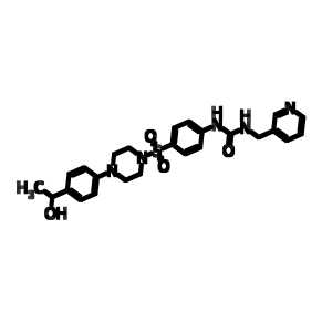 CC(O)c1ccc(N2CCN(S(=O)(=O)c3ccc(NC(=O)NCc4cccnc4)cc3)CC2)cc1